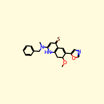 COC1Cc2[nH]c(N(C)Cc3ccccc3)cc(=S)c2C=C1c1cnco1